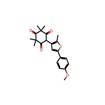 COc1ccc(-c2cc(C3C(=O)C(C)(C)C(=O)C(C)(C)C3=O)c(C)s2)cc1